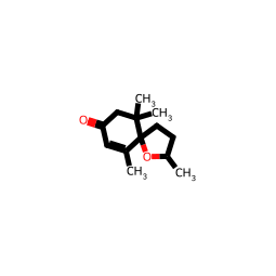 CC1=CC(=O)CC(C)(C)C12CCC(C)O2